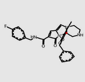 O=C(NCc1ccc(F)cc1)C1=CC2=C[N+]34CCCC(=O)C3(CNCC4)[N+]2(OCc2ccccc2)C1=O